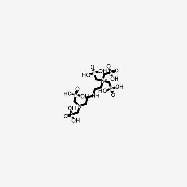 O=P([O-])(O)C[N+](CCNCCN(CP(=O)(O)O)CP(=O)(O)O)(CP(=O)(O)O)CP(=O)(O)O